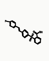 O=C(O)c1ccccc1S(=O)(=O)c1ccc(C=Cc2ccc(F)cc2)cc1